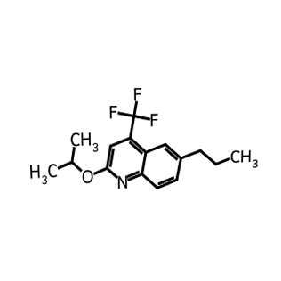 CCCc1ccc2nc(OC(C)C)cc(C(F)(F)F)c2c1